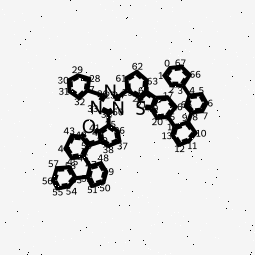 c1ccc(-c2cccc(-c3ccccc3-c3ccc4c(c3)sc3c(-c5nc(-c6ccccc6)nc(-c6cccc7c6oc6cccc(-c8ccccc8-c8ccccc8)c67)n5)cccc34)c2)cc1